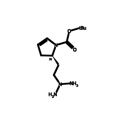 CC(C)(C)OC(=O)N1C=CC[C@H]1CCN(N)N